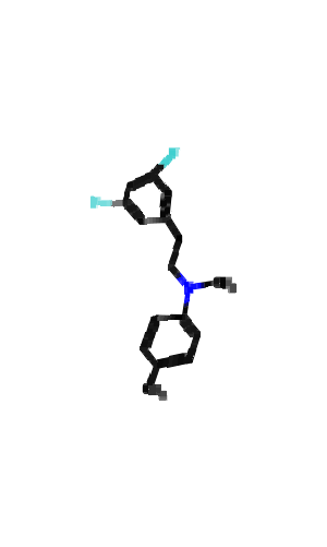 Cc1ccc(N(C)CCc2cc(F)cc(F)c2)cc1